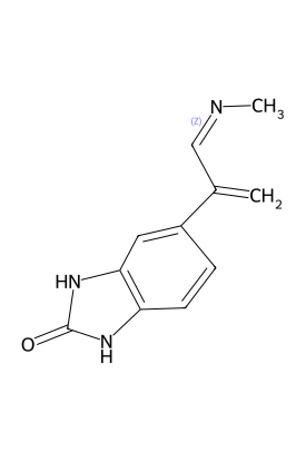 C=C(/C=N\C)c1ccc2[nH]c(=O)[nH]c2c1